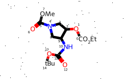 CCOC(=O)OC1CN(C(=O)OC)CC1NC(=O)OC(C)(C)C